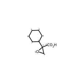 O=C(O)C1(C2CCCCC2)CO1